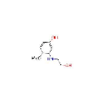 COc1ccc(O)cc1NCCO